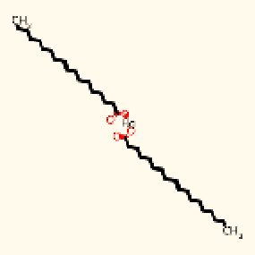 CCCCCCCC/C=C/CCCCCCCC(=O)[O][Hg][O]C(=O)CCCCCCC/C=C/CCCCCCCC